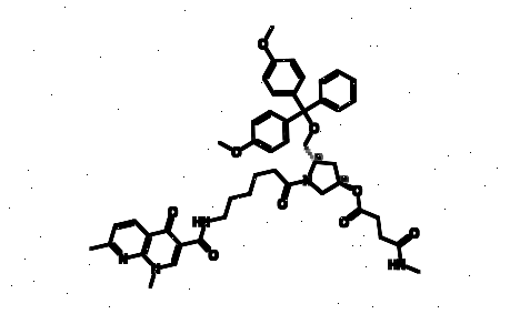 CNC(=O)CCC(=O)O[C@@H]1C[C@@H](COC(c2ccccc2)(c2ccc(OC)cc2)c2ccc(OC)cc2)N(C(=O)CCCCCNC(=O)c2cn(C)c3nc(C)ccc3c2=O)C1